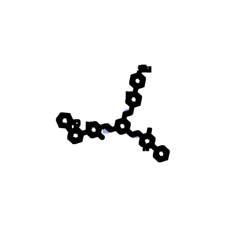 Cc1cc(-c2ccccc2)ncc1/C=C/c1cc(/C=C/c2ccc(-c3ccc(C(C)(C)C)cc3)nc2)cc(/C=C/c2cnc(-c3cccc4c3oc3ccccc34)cc2C)c1